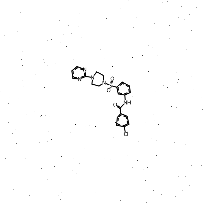 O=C(Nc1cccc(S(=O)(=O)N2CCN(c3ncccn3)CC2)c1)c1ccc(Cl)cc1